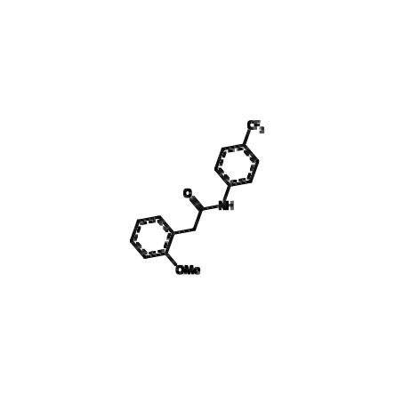 COc1ccccc1CC(=O)Nc1ccc(C(F)(F)F)cc1